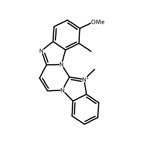 COc1ccc2nc3ccn4c5ccccc5[n+](C)c4n3c2c1C